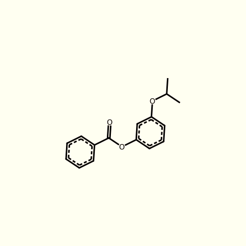 CC(C)Oc1cccc(OC(=O)c2ccccc2)c1